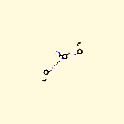 CN(C)Cc1cn(CCCC(=O)N/N=C/c2cccc(-n3cccn3)c2)c2ccc(C(=O)N/N=C/c3cccc(-n4cccn4)c3)cc12